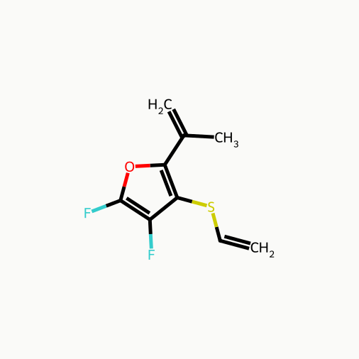 C=CSc1c(C(=C)C)oc(F)c1F